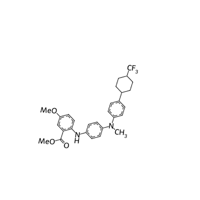 COC(=O)c1cc(OC)ccc1Nc1ccc(N(C)c2ccc(C3CCC(C(F)(F)F)CC3)cc2)cc1